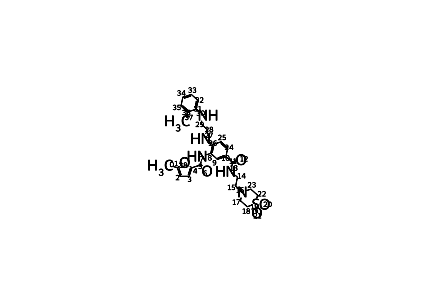 Cc1ccc(C(=O)Nc2cc(C(=O)NCCN3CCS(=O)(=O)CC3)ccc2NCCNc2ccccc2C)o1